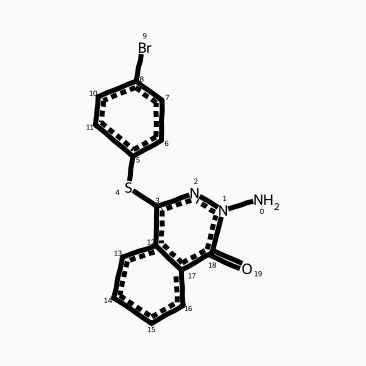 Nn1nc(Sc2ccc(Br)cc2)c2ccccc2c1=O